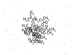 C=C(C)C(=O)OCC(OC(=O)C(=C)C)(OC(=O)C(=C)C)OP(=O)(OC(COC(=O)C(=C)C)(OC(=O)C(=C)C)OC(=O)C(=C)C)OC(COC(=O)C(=C)C)(OC(=O)C(=C)C)OC(=O)C(=C)C